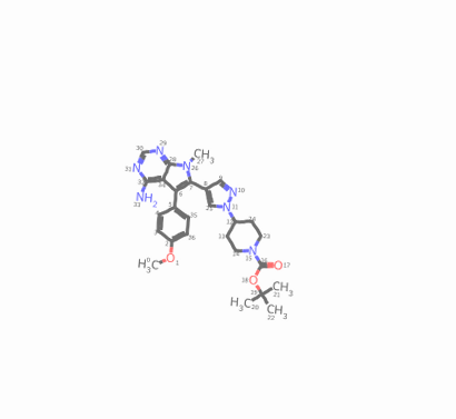 COc1ccc(-c2c(-c3cnn(C4CCN(C(=O)OC(C)(C)C)CC4)c3)n(C)c3ncnc(N)c23)cc1